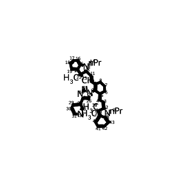 CCCN1/C(=C/C=C2\CCCC(/C=C/C3=[N+](CCC)c4ccccc4C3(C)C)=C2n2cc(-c3cccnc3)nn2)C(C)(C)c2ccccc21